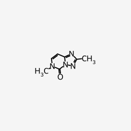 Cc1nc2ccn(C)c(=O)n2n1